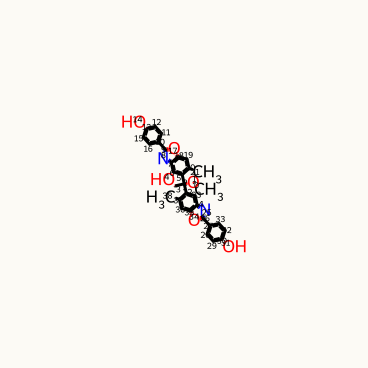 COC(CO)(c1cc2nc(-c3ccc(O)cc3)oc2cc1C)c1cc2nc(-c3ccc(O)cc3)oc2cc1C